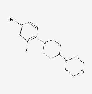 CC(C)(C)c1ccc(N2CCC(N3CCOCC3)CC2)c(F)c1